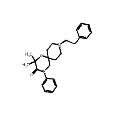 CC1(C)OC2(CCN(CCc3ccccc3)CC2)CN(c2ccccc2)C1=O